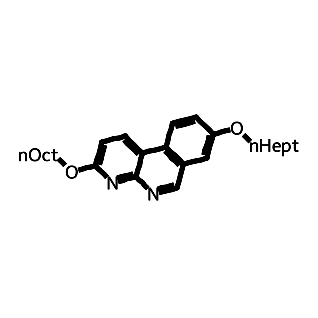 CCCCCCCCOc1ccc2c(ncc3cc(OCCCCCCC)ccc32)n1